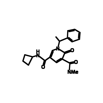 CNC(=O)c1cc(C(=O)NC2CCC2)cn(C(C)c2ccccc2)c1=O